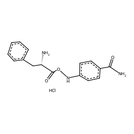 Cl.NC(=O)c1ccc(NOC(=O)[C@@H](N)Cc2ccccc2)cc1